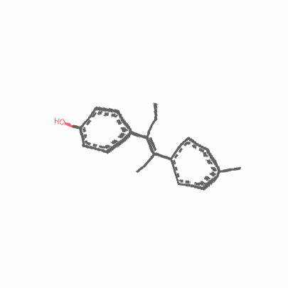 CC/C(=C(/C)c1ccc(C)cc1)c1ccc(O)cc1